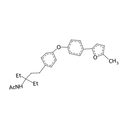 CCC(CC)(CCc1ccc(Oc2ccc(-c3ccc(C)o3)cc2)cc1)NC(C)=O